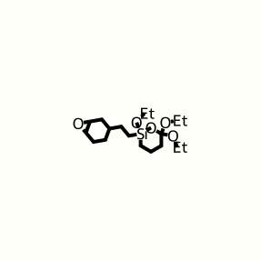 CCOC1(OCC)CCC[Si](CCC2CCC3OC3C2)(OCC)O1